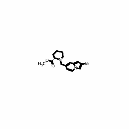 COC(=O)[C@@H]1CCCCN1Cc1ccn2cc(Br)cc2c1